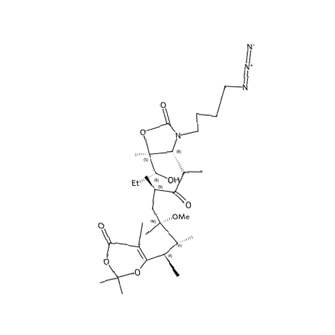 CC[C@@H](O)[C@@]1(C)OC(=O)N(CCCCN=[N+]=[N-])[C@@H]1C(C)C(=O)[C@H](C)C[C@@](C)(OC)[C@H](C)[C@@H](C)C1=C(C)C(=O)OC(C)(C)O1